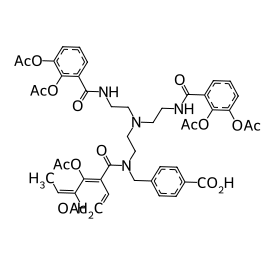 C=C/C(C(=O)N(CCN(CCNC(=O)c1cccc(OC(C)=O)c1OC(C)=O)CCNC(=O)c1cccc(OC(C)=O)c1OC(C)=O)Cc1ccc(C(=O)O)cc1)=C(OC(C)=O)\C(=C/C)OC(C)=O